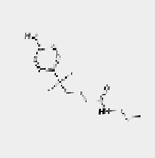 C=CCNC(=O)CCCC(C)(C)c1ccc(O)cc1